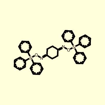 c1ccc([Si](ON=C2CCC(=NO[Si](c3ccccc3)(c3ccccc3)c3ccccc3)CC2)(c2ccccc2)c2ccccc2)cc1